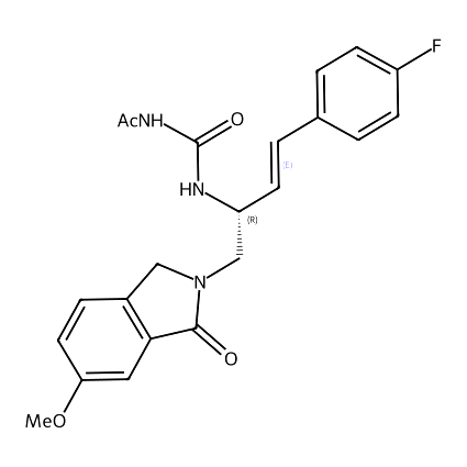 COc1ccc2c(c1)C(=O)N(C[C@@H](/C=C/c1ccc(F)cc1)NC(=O)NC(C)=O)C2